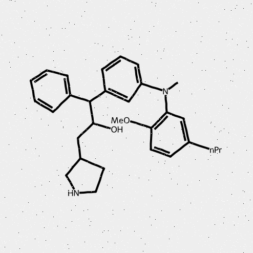 CCCc1ccc(OC)c(N(C)c2cccc(C(c3ccccc3)C(O)CC3CCNC3)c2)c1